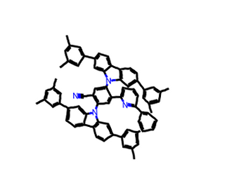 Cc1cc(C)cc(-c2ccc3c4ccc(-c5cc(C)cc(C)c5)cc4n(-c4cc(-c5cccc(-c6ccccc6)n5)c(-n5c6cc(-c7cc(C)cc(C)c7)ccc6c6ccc(-c7cc(C)cc(C)c7)cc65)cc4C#N)c3c2)c1